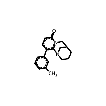 Cc1cccc(-c2ccc(=O)n3c2N2CCCC(C2)C3)c1